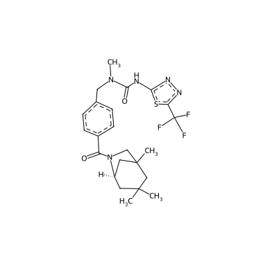 CN(Cc1ccc(C(=O)N2CC3(C)C[C@H]2CC(C)(C)C3)cc1)C(=O)Nc1nnc(C(F)(F)F)s1